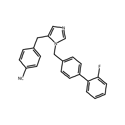 N#Cc1ccc(Cc2cncn2Cc2ccc(-c3ccccc3F)cc2)cc1